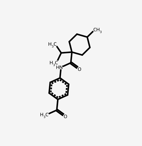 CC(=O)c1ccc(NC(=O)C2(C(C)C)CCC(C)CC2)cc1